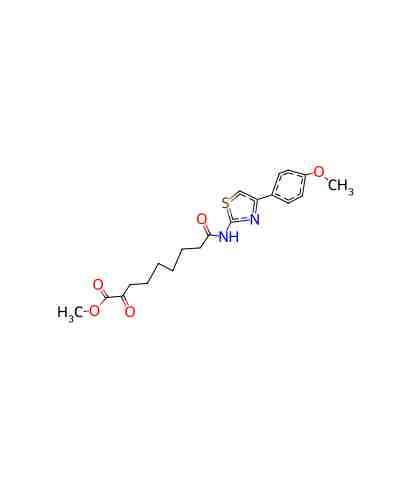 COC(=O)C(=O)CCCCCCC(=O)Nc1nc(-c2ccc(OC)cc2)cs1